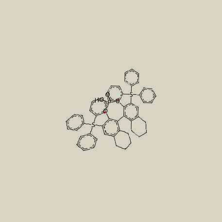 O=P1(O)Oc2c(S(c3ccccc3)(c3ccccc3)c3ccccc3)cc3c(c2-c2c4c(cc(S(c5ccccc5)(c5ccccc5)c5ccccc5)c2O1)CCCC4)CCCC3